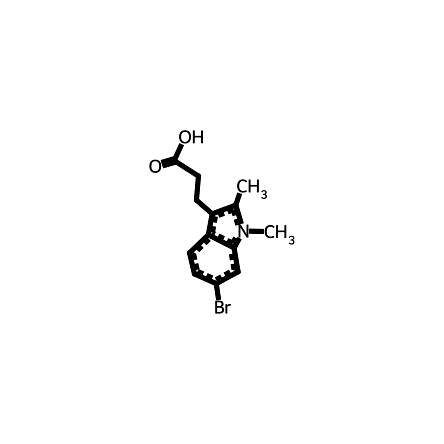 Cc1c(CCC(=O)O)c2ccc(Br)cc2n1C